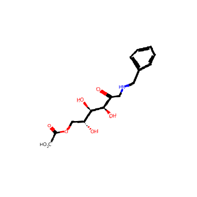 O=C(O)C(=O)OC[C@@H](O)[C@@H](O)[C@H](O)C(=O)CNCc1ccccc1